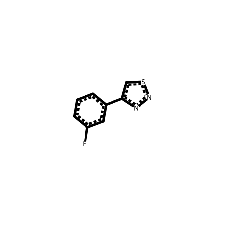 Fc1cccc(-c2csnn2)c1